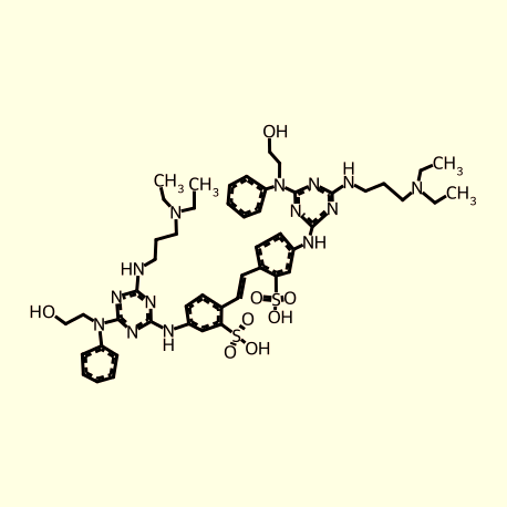 CCN(CC)CCCNc1nc(Nc2ccc(/C=C/c3ccc(Nc4nc(NCCCN(CC)CC)nc(N(CCO)c5ccccc5)n4)cc3S(=O)(=O)O)c(S(=O)(=O)O)c2)nc(N(CCO)c2ccccc2)n1